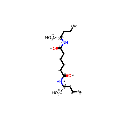 CC(=O)CC[C@H](NC(=O)CCCCC(=O)N[C@H](CCC(C)=O)C(=O)O)C(=O)O